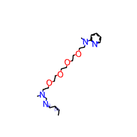 C/C=C\C=N/CN(C)CCOCCOCCOCCOCCN(C)c1ccccn1